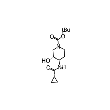 CC(C)(C)OC(=O)N1CC[C@@H](NC(=O)C2CC2)[C@H](O)C1